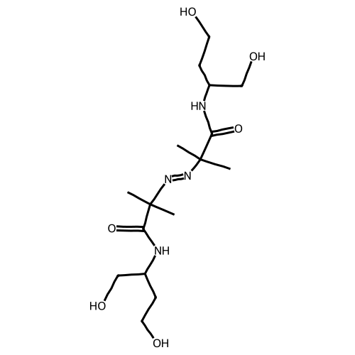 CC(C)(N=NC(C)(C)C(=O)NC(CO)CCO)C(=O)NC(CO)CCO